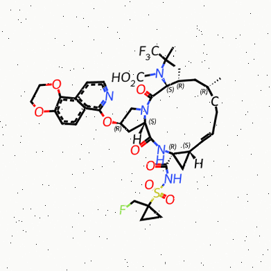 C[C@@H]1CCC=C[C@@H]2C[C@@]2(C(=O)NS(=O)(=O)C2(CF)CC2)NC(=O)[C@@H]2C[C@@H](Oc3nccc4c5c(ccc34)OCCO5)CN2C(=O)[C@@H](N(C(=O)O)C(C)(C)C(F)(F)F)[C@H](C)C1